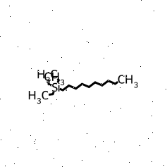 CCCCCCCCC[CH][Si](CC)(CC)CC